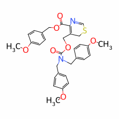 COc1ccc(COC(=O)C2=C(COC(=O)N(Cc3ccc(OC)cc3)Cc3ccc(OC)cc3)CSC=N2)cc1